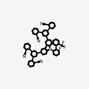 N#Cc1ccccc1-c1cc(-c2ccc3c(c2)c2cc(-c4cc(-c5ccccc5C#N)cc(-c5ccccc5C#N)c4)ccc2n3-c2ccccc2-c2ccccc2C(F)(F)F)cc(-c2ccccc2C#N)c1